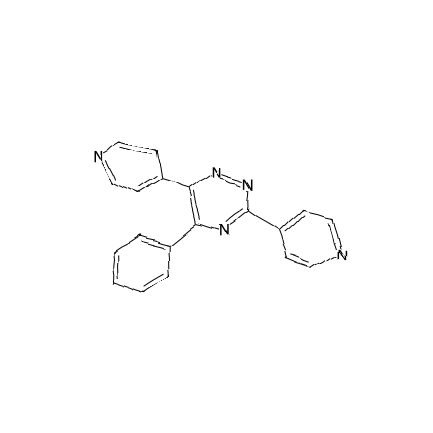 c1ccc(-c2nc(-c3ccncc3)nnc2-c2ccncc2)cc1